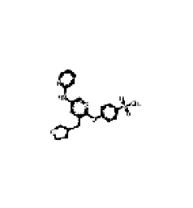 CS(=O)(=O)c1ccc(Oc2ncc(Nc3ccccn3)cc2CC2CCOC2)cc1